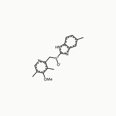 COc1c(C)cnc(C[S+]([O-])c2nc3cc(C)ccc3[nH]2)c1C